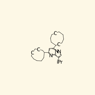 CC(C)c1cnn2c(C3CCCCCCCCC3)cc(C3CCCCCCCCC3)nc12